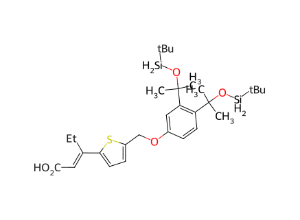 CCC(=CC(=O)O)c1ccc(COc2ccc(C(C)(C)O[SiH2]C(C)(C)C)c(C(C)(C)O[SiH2]C(C)(C)C)c2)s1